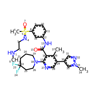 CNCCN=S(C)(=O)c1cccc(NC(=O)c2c(N3CCCC(F)(F)CC3)ncc(-c3cnn(C)c3)c2C)c1